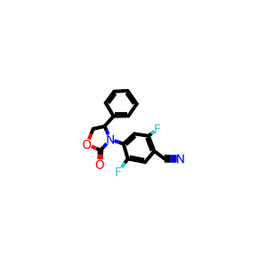 N#Cc1cc(F)c(N2C(=O)OCC2c2ccccc2)cc1F